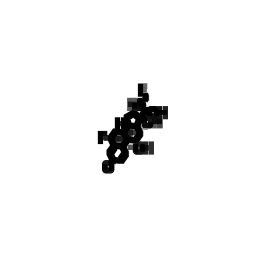 C[C@@H]1C[C@H]2[C@@H]3C[C@H](F)C4=CC(=O)C=C[C@]4(C)[C@@]3(F)[C@@H](O)C[C@]2(C)[C@@]1(O)C(O)=[SH]CF